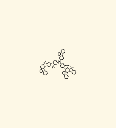 CC1(C)c2cc(N(c3ccc4c(c3)C(C)(C)c3c5c(c6c(oc7ccccc76)c3-4)-c3ccccc3C5(C)C)c3ccc4c(c3)oc3ccccc34)ccc2-c2cc3c(cc21)-c1c(ccc2oc4ccccc4c12)C3(C)C